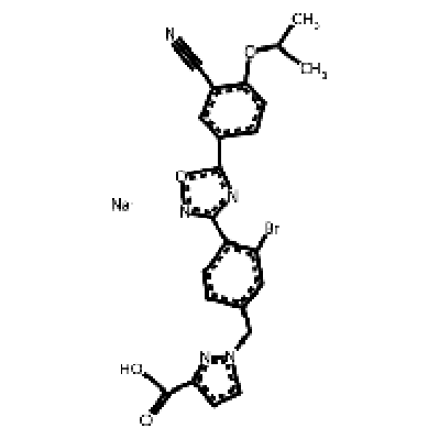 CC(C)Oc1ccc(-c2nc(-c3ccc(Cn4ccc(C(=O)O)n4)cc3Br)no2)cc1C#N.[Na]